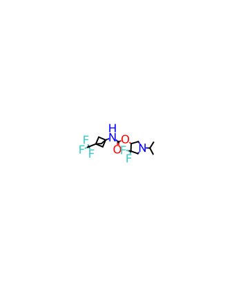 CC(C)N1C[C@H](OC(=O)NC23CC(C(F)(F)F)(C2)C3)C(F)(F)C1